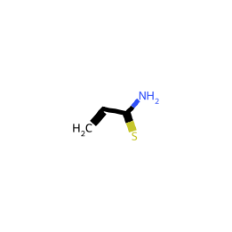 C=CC(N)=S